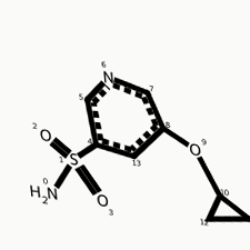 NS(=O)(=O)c1cncc(OC2CC2)c1